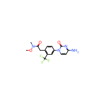 CON(C)C(=O)Cc1ccc(-n2ccc(N)nc2=O)cc1C(F)(F)F